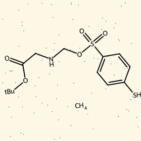 C.CC(C)(C)OC(=O)CNCOS(=O)(=O)c1ccc(S)cc1